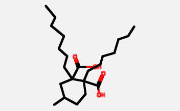 CCCCCCCC1(C(=O)O)CCC(C)CC1(CCCCCCC)C(=O)O